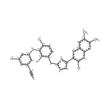 Cc1cc2nc(Cl)c(-c3nnc(Cc4ccc(Cl)c(Oc5cc(Cl)cc(C#N)c5)c4F)o3)nc2cc1C